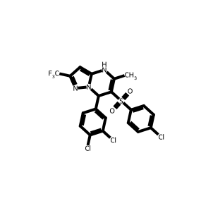 CC1=C(S(=O)(=O)c2ccc(Cl)cc2)C(c2ccc(Cl)c(Cl)c2)n2nc(C(F)(F)F)cc2N1